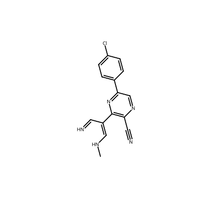 CN/C=C(\C=N)c1nc(-c2ccc(Cl)cc2)cnc1C#N